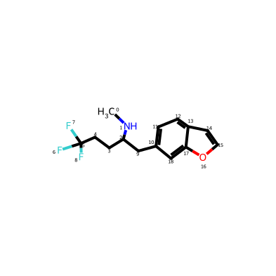 CNC(CCC(F)(F)F)Cc1ccc2ccoc2c1